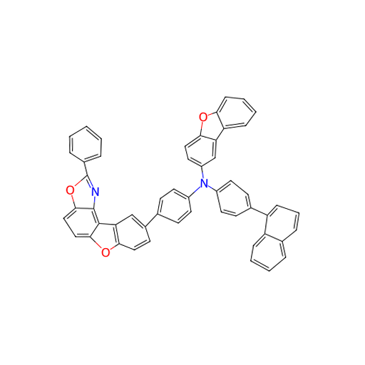 c1ccc(-c2nc3c(ccc4oc5ccc(-c6ccc(N(c7ccc(-c8cccc9ccccc89)cc7)c7ccc8oc9ccccc9c8c7)cc6)cc5c43)o2)cc1